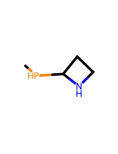 CPC1CCN1